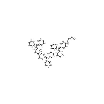 O=[CH][Ru][CH]=O.c1ccc(P(c2ccccc2)c2ccccc2)cc1.c1ccc(P(c2ccccc2)c2ccccc2)cc1.c1ccc(P(c2ccccc2)c2ccccc2)cc1